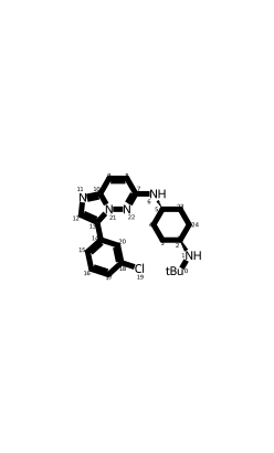 CC(C)(C)N[C@H]1CC[C@H](Nc2ccc3ncc(-c4cccc(Cl)c4)n3n2)CC1